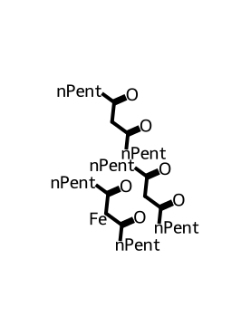 CCCCCC(=O)CC(=O)CCCCC.CCCCCC(=O)CC(=O)CCCCC.CCCCCC(=O)CC(=O)CCCCC.[Fe]